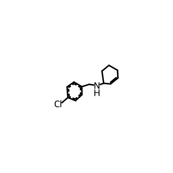 Clc1ccc(CNC2C=CCCC2)cc1